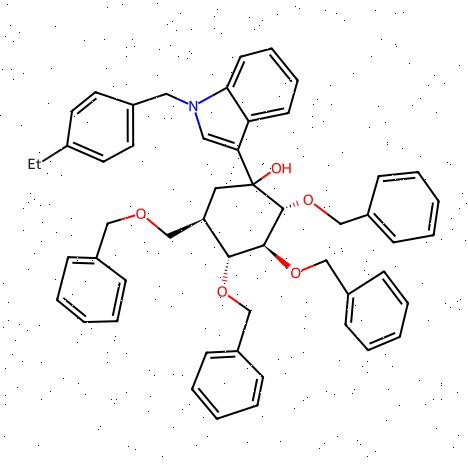 CCc1ccc(Cn2cc(C3(O)C[C@H](COCc4ccccc4)[C@@H](OCc4ccccc4)[C@H](OCc4ccccc4)[C@H]3OCc3ccccc3)c3ccccc32)cc1